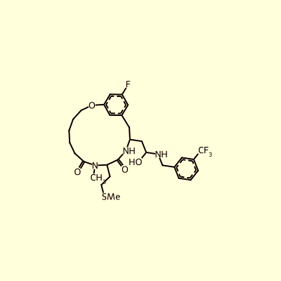 CSCCC1C(=O)NC(CC(O)NCc2cccc(C(F)(F)F)c2)Cc2cc(F)cc(c2)OCCCCCC(=O)N1C